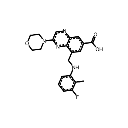 Cc1c(F)cccc1NCc1cc(C(=O)O)cc2ncc(N3CCOCC3)nc12